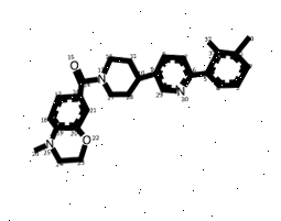 Cc1cccc(-c2ccc(C3CCN(C(=O)c4ccc5c(c4)OCCN5C)CC3)cn2)c1C